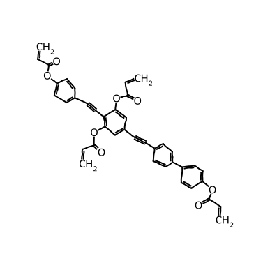 C=CC(=O)Oc1ccc(C#Cc2c(OC(=O)C=C)cc(C#Cc3ccc(-c4ccc(OC(=O)C=C)cc4)cc3)cc2OC(=O)C=C)cc1